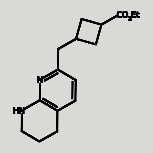 CCOC(=O)C1CC(Cc2ccc3c(n2)NCCC3)C1